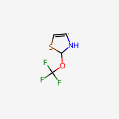 FC(F)(F)OC1N[C]=CS1